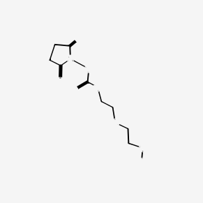 COCCOCCOC(=O)ON1C(=O)CCC1=O